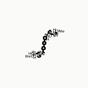 COC(=O)N[C@H](C(=O)N1CCC[C@H]1c1nc2ccc(-c3ccc(-c4ccc(-c5cnc([C@@H]6CCCN6C(=O)[C@@H](NC(O)OC)C(C)C)[nH]5)cc4)cc3)cc2[nH]1)C(C)C